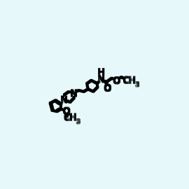 CCOCC(=O)NC1CCC(CCN2CCN(c3ccccc3OC)CC2)CC1